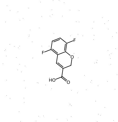 O=C(O)C1=Cc2c(F)ccc(F)c2OC1